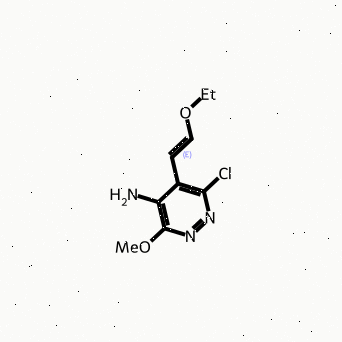 CCO/C=C/c1c(Cl)nnc(OC)c1N